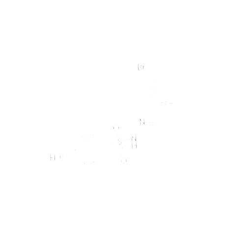 Cc1ccc(S(=O)(=O)NN=Cc2cccc(Br)c2)cc1